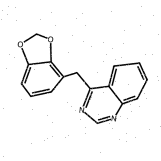 c1cc(Cc2ncnc3ccccc23)c2c(c1)OCO2